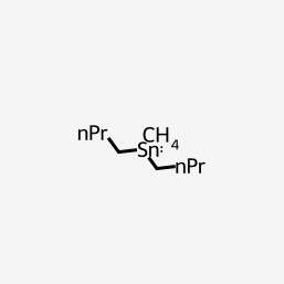 C.CCC[CH2][Sn][CH2]CCC